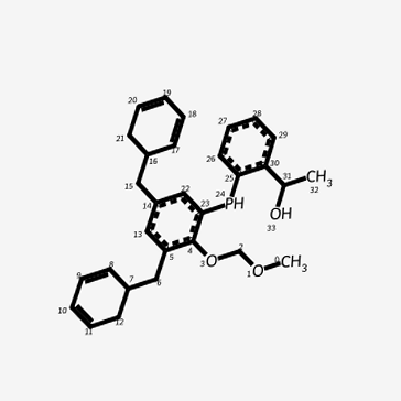 COCOc1c(CC2C=CC=CC2)cc(CC2C=CC=CC2)cc1Pc1ccccc1C(C)O